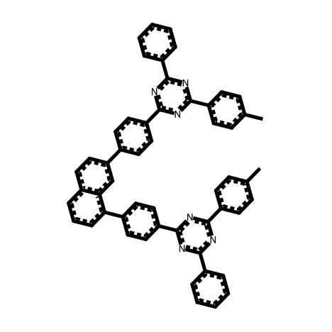 Cc1ccc(-c2nc(-c3ccccc3)nc(-c3ccc(-c4ccc5cccc(-c6ccc(-c7nc(-c8ccccc8)nc(-c8ccc(C)cc8)n7)cc6)c5c4)cc3)n2)cc1